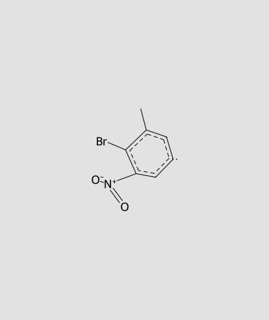 Cc1c[c]cc([N+](=O)[O-])c1Br